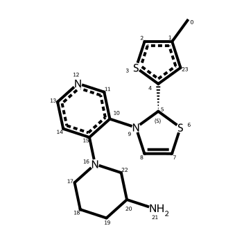 Cc1csc([C@@H]2SC=CN2c2cnccc2N2CCCC(N)C2)c1